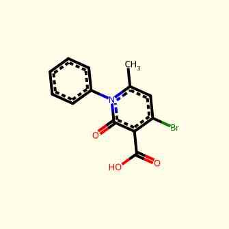 Cc1cc(Br)c(C(=O)O)c(=O)n1-c1ccccc1